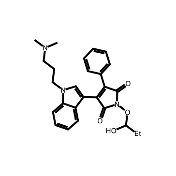 CCC(O)ON1C(=O)C(c2ccccc2)=C(c2cn(CCCN(C)C)c3ccccc23)C1=O